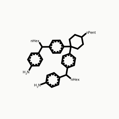 CCCCCCC(c1ccc(N)cc1)c1ccc(C2(c3ccc(C(CCCCCC)c4ccc(N)cc4)cc3)CCC(CCCCC)CC2)cc1